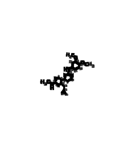 CNc1ncc(-c2ccnc(Nc3ccc(OC)c(OC)c3)n2)c(CC2CC2)n1